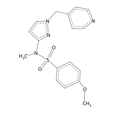 COc1ccc(S(=O)(=O)N(C)c2ccn(Cc3ccncc3)n2)cc1